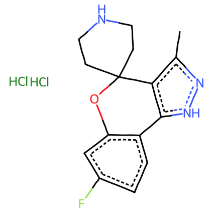 Cc1n[nH]c2c1C1(CCNCC1)Oc1cc(F)ccc1-2.Cl.Cl